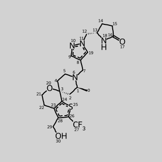 C[C@H]1C[C@@]2(CCN1Cc1cnn(C[C@@H]3CCC(=O)N3)c1)OCCc1c2sc(C(F)(F)F)c1CO